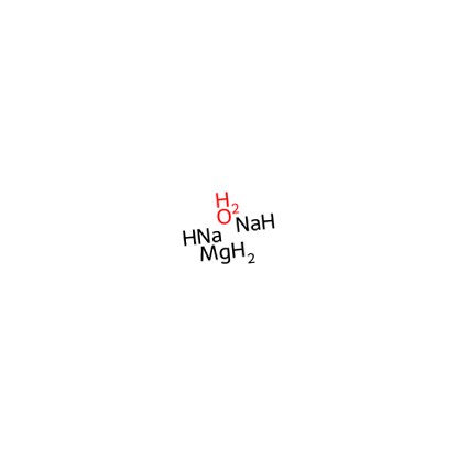 O.[MgH2].[NaH].[NaH]